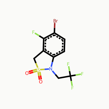 O=S1(=O)Cc2c(ccc(Br)c2F)N1CC(F)(F)F